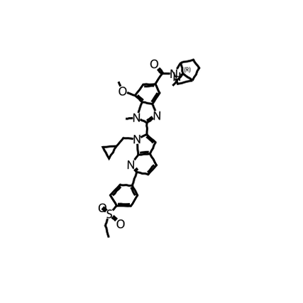 CCS(=O)(=O)c1ccc(-c2ccc3cc(-c4nc5cc(C(=O)N6CC7CCC6[C@@H]7C)cc(OC)c5n4C)n(CC4CC4)c3n2)cc1